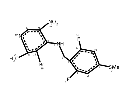 CSc1cc(F)c(CNc2c([N+](=O)[O-])cnc(C)c2Br)c(F)c1